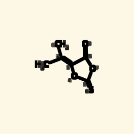 CC(C)=C1OC(=S)OC1=O